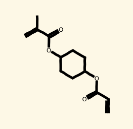 C=CC(=O)OC1CCC(OC(=O)C(=C)C)CC1